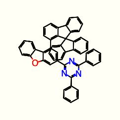 c1ccc(-c2nc(-c3ccccc3)nc(-c3cc(-c4cccc5c4C4(c6ccccc6-c6ccccc64)c4ccccc4-5)c4c(c3)oc3ccccc34)n2)cc1